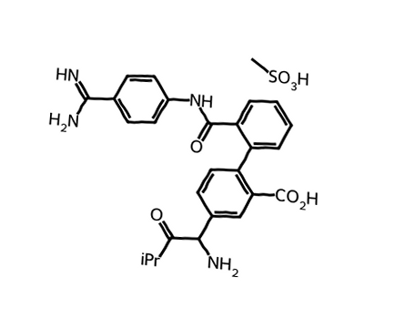 CC(C)C(=O)C(N)c1ccc(-c2ccccc2C(=O)Nc2ccc(C(=N)N)cc2)c(C(=O)O)c1.CS(=O)(=O)O